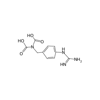 N=C(N)Nc1ccc(CN(C(=O)O)C(=O)O)cc1